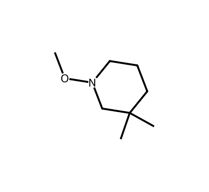 CON1CCCC(C)(C)C1